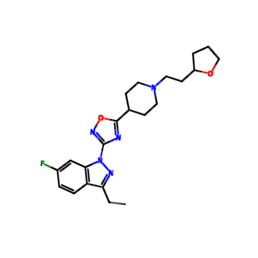 CCc1nn(-c2noc(C3CCN(CCC4CCCO4)CC3)n2)c2cc(F)ccc12